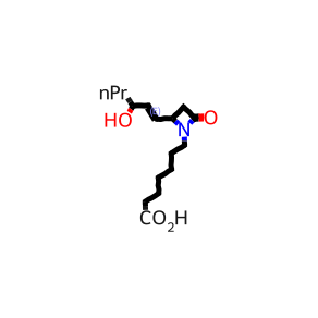 CCCC(O)/C=C/C1CC(=O)N1CCCCCCC(=O)O